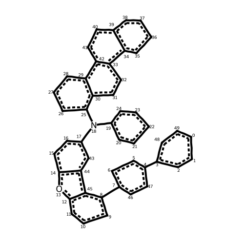 c1ccc(-c2ccc(-c3cccc4oc5ccc(N(c6ccccc6)c6cccc7c6ccc6c8ccccc8ccc76)cc5c34)cc2)cc1